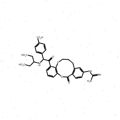 N=C(N)Nc1ccc2c(c1)CCCOc1c(cccc1C(=O)C(NC(CC(=O)O)CC(=O)O)c1ccc(C(=O)O)cc1)OC2=O